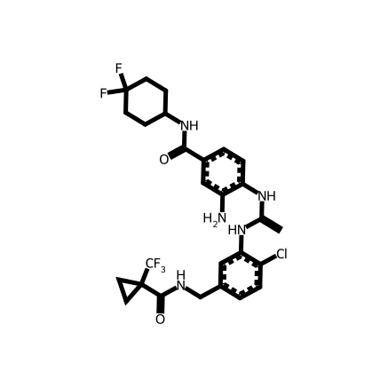 C=C(Nc1ccc(C(=O)NC2CCC(F)(F)CC2)cc1N)Nc1cc(CNC(=O)C2(C(F)(F)F)CC2)ccc1Cl